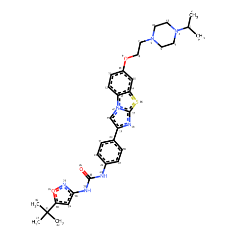 CC(C)N1CCN(CCOc2ccc3c(c2)sc2nc(-c4ccc(NC(=O)Nc5cc(C(C)(C)C)on5)cc4)cn23)CC1